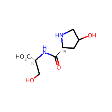 O=C(O)[C@@H](CO)NC(=O)[C@H]1CC(O)CN1